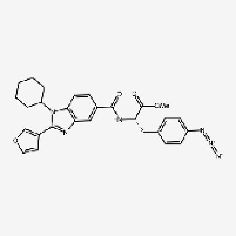 COC(=O)[C@H](Cc1ccc(N=[N+]=[N-])cc1)NC(=O)c1ccc2c(c1)nc(-c1ccoc1)n2C1CCCCC1